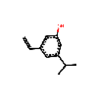 C=Cc1cc(O)cc(C(C)C)c1